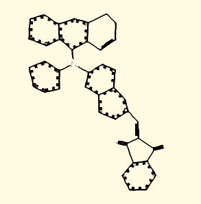 O=C1C(=Cc2ccc3cc(N(c4ccccc4)c4c5c(cc6ccccc46)CCC=C5)ccc3c2)C(=O)c2ccccc21